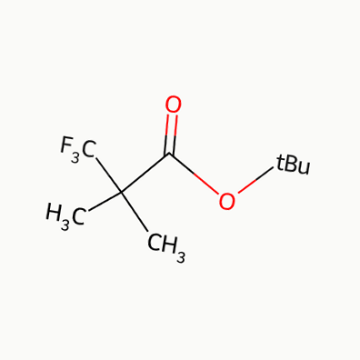 CC(C)(C)OC(=O)C(C)(C)C(F)(F)F